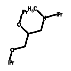 CC(C)OCC(CN(C)C(C)C)OC(C)C